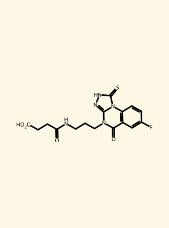 O=C(O)CCC(=O)NCCCn1c(=O)c2cc(F)ccc2n2c(=S)[nH]nc12